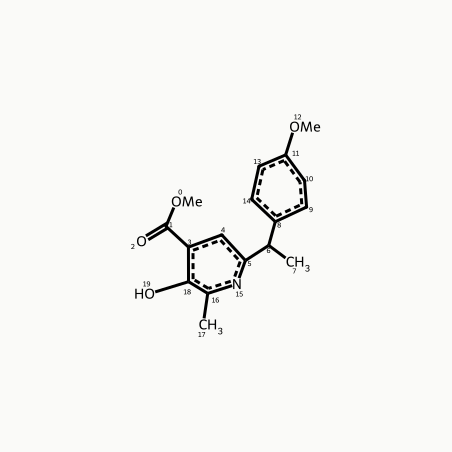 COC(=O)c1cc(C(C)c2ccc(OC)cc2)nc(C)c1O